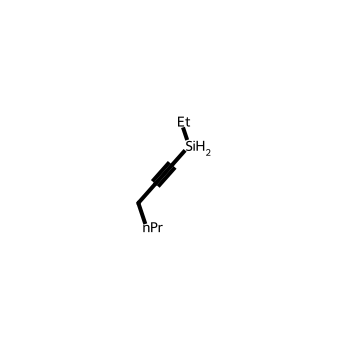 CCCCC#C[SiH2]CC